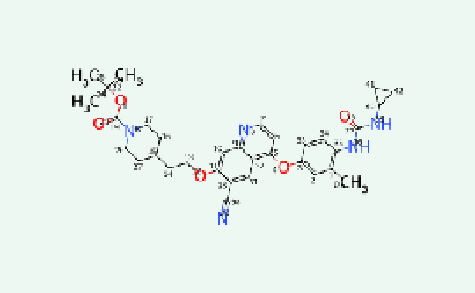 Cc1cc(Oc2ccnc3cc(OCCC4CCN(C(=O)OC(C)(C)C)CC4)c(C#N)cc23)ccc1NC(=O)NC1CC1